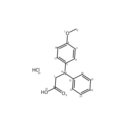 COc1ccc(N(CC(=O)O)c2ccccc2)cc1.Cl